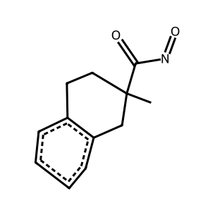 CC1(C(=O)N=O)CCc2ccccc2C1